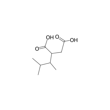 CC(C)C(C)C(CC(=O)O)C(=O)O